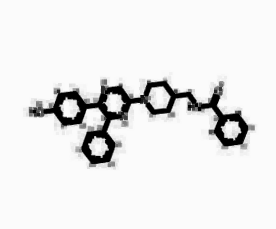 O=C(NCC1CCN(c2cnc(-c3ccc(O)cc3)c(-c3ccccc3)n2)CC1)c1ccccc1